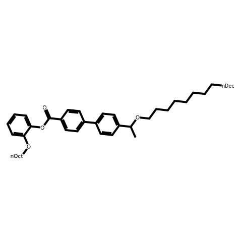 CCCCCCCCCCCCCCCCCCOC(C)c1ccc(-c2ccc(C(=O)Oc3ccccc3OCCCCCCCC)cc2)cc1